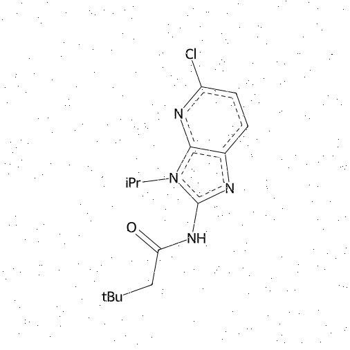 CC(C)n1c(NC(=O)CC(C)(C)C)nc2ccc(Cl)nc21